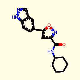 O=C(NC1CCCCC1)c1cc(-c2ccc3[nH]ncc3c2)on1